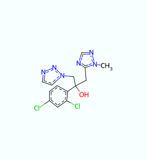 Cn1ncnc1CC(O)(Cn1ccnn1)c1ccc(Cl)cc1Cl